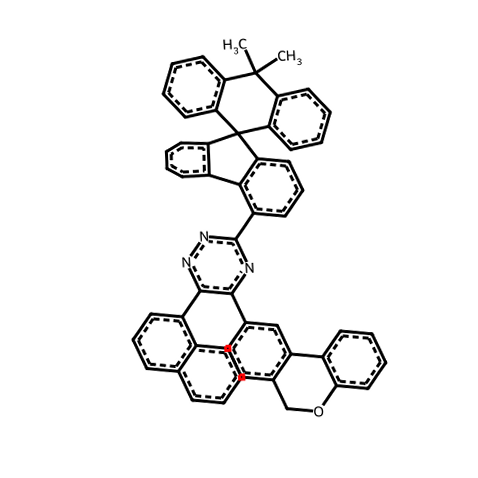 CC1(C)c2ccccc2C2(c3ccccc3-c3c(-c4nnc(-c5cccc6ccccc56)c(-c5ccc6c(c5)-c5ccccc5OC6)n4)cccc32)c2ccccc21